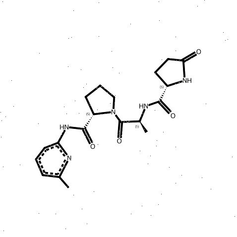 Cc1cccc(NC(=O)[C@@H]2CCCN2C(=O)[C@H](C)NC(=O)[C@@H]2CCC(=O)N2)n1